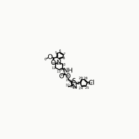 COC(=O)c1ccccc1N1CCCC(NC(=O)OCc2sc(-c3ccc(Cl)cc3)nc2C)C1